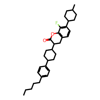 CCCCCc1ccc(C2CCC(C3Cc4ccc(C5CCC(C)CC5)c(F)c4OC3=O)CC2)cc1